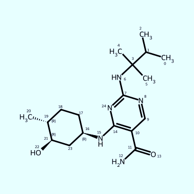 CC(C)C(C)(C)Nc1ncc(C(N)=O)c(N[C@@H]2CC[C@@H](C)[C@H](O)C2)n1